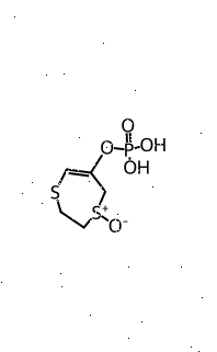 O=P(O)(O)OC1=CSCC[S+]([O-])C1